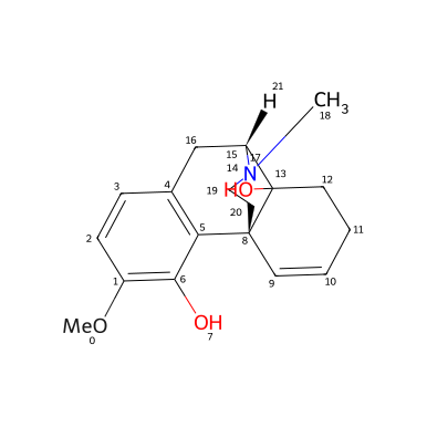 COc1ccc2c(c1O)[C@@]13C=CCCC1(O)[C@@H](C2)N(C)CC3